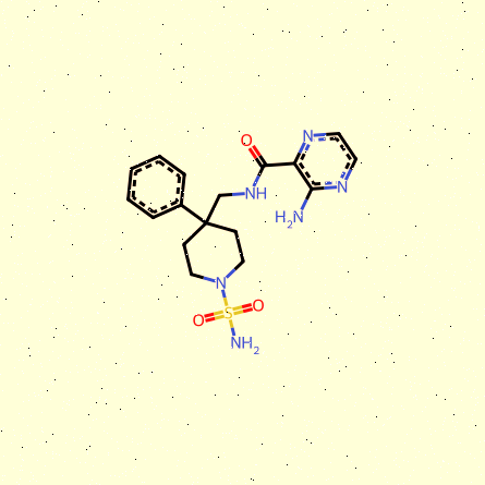 Nc1nccnc1C(=O)NCC1(c2ccccc2)CCN(S(N)(=O)=O)CC1